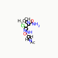 CC(=O)N1C[C@H]2C[C@@H](C(=O)Nc3cc(-c4cc(C(N)=O)n5c4CC(C)(C)C5)c(Cl)cn3)C[C@H]2C1